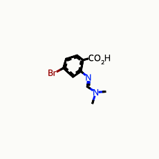 CN(C)/C=N/c1cc(Br)ccc1C(=O)O